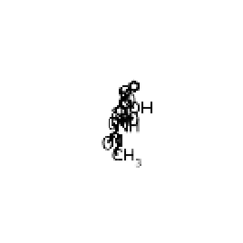 CCCN1CC(C(=O)N[C@@H]2C(=O)N3C(C(=O)O)=C(C=NOC4CCCCC4)CS[C@@H]23)CC1=O